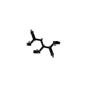 CNC(=O)C(CC(=O)S)NC